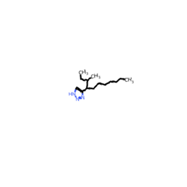 CCCCCCCC(c1c[nH]nn1)C(C)CC